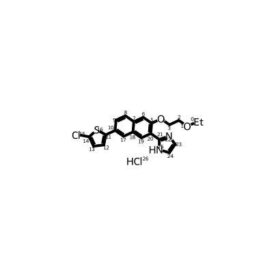 CCOCCOc1cc2ccc(-c3ccc(Cl)s3)cc2cc1-c1ncc[nH]1.Cl